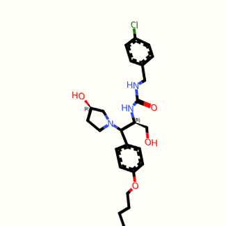 O=C(NCc1ccc(Cl)cc1)N[C@@H](CO)C(c1ccc(OCCCCF)cc1)N1CC[C@@H](O)C1